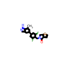 Cc1cc(-c2cc(F)c(CN3Cc4sccc4C3=O)c(F)c2)cc2cn[nH]c12